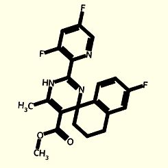 COC(=O)C1=C(C)NC(c2ncc(F)cc2F)=NC12CCCc1cc(F)ccc12